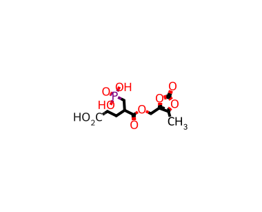 Cc1oc(=O)oc1COC(=O)C(CCC(=O)O)CP(=O)(O)O